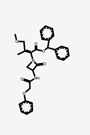 COCC(C)=C(C(=O)OC(c1ccccc1)c1ccccc1)N1CC(NC(=O)COc2ccccc2)C1=O